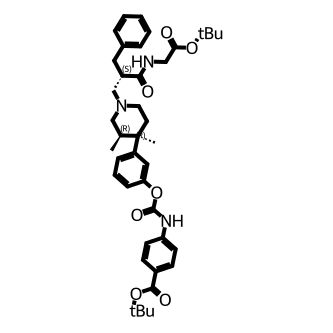 C[C@H]1CN(C[C@H](Cc2ccccc2)C(=O)NCC(=O)OC(C)(C)C)CC[C@@]1(C)c1cccc(OC(=O)Nc2ccc(C(=O)OC(C)(C)C)cc2)c1